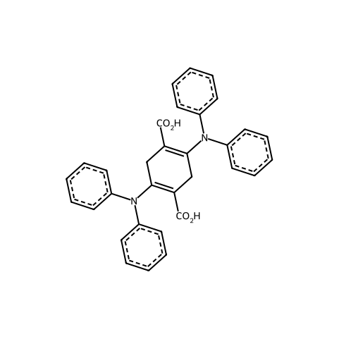 O=C(O)C1=C(N(c2ccccc2)c2ccccc2)CC(C(=O)O)=C(N(c2ccccc2)c2ccccc2)C1